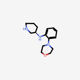 c1ccc(N2CCOCC2)c(N[C@@H]2CCCNC2)c1